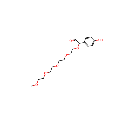 COCCOCCOCCOCCOC(C=O)c1ccc(O)cc1